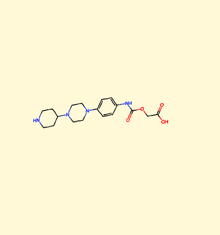 O=C(O)COC(=O)Nc1ccc(N2CCN(C3CCNCC3)CC2)cc1